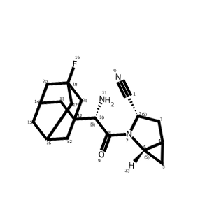 N#C[C@@H]1CC2C[C@@H]2N1C(=O)[C@@H](N)C12CC3CC(CC(F)(C3)C1)C2